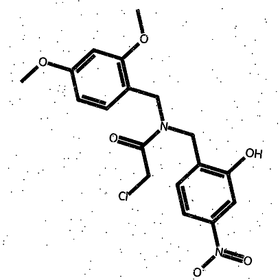 COc1ccc(CN(Cc2ccc([N+](=O)[O-])cc2O)C(=O)CCl)c(OC)c1